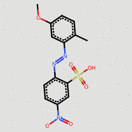 COc1[c]cc(C)c(N=Nc2ccc([N+](=O)[O-])cc2S(=O)(=O)O)c1